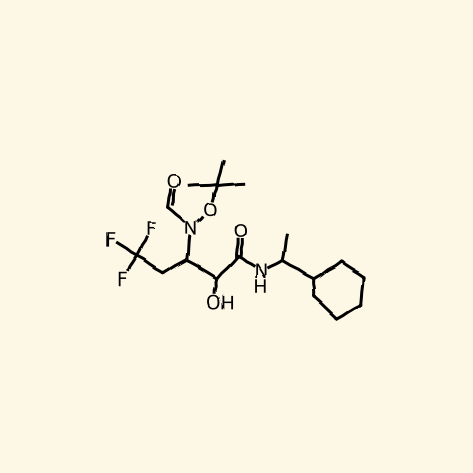 CC(NC(=O)C(O)C(CC(F)(F)F)N(C=O)OC(C)(C)C)C1CCCCC1